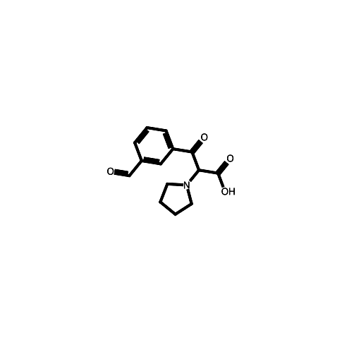 O=Cc1cccc(C(=O)C(C(=O)O)N2CCCC2)c1